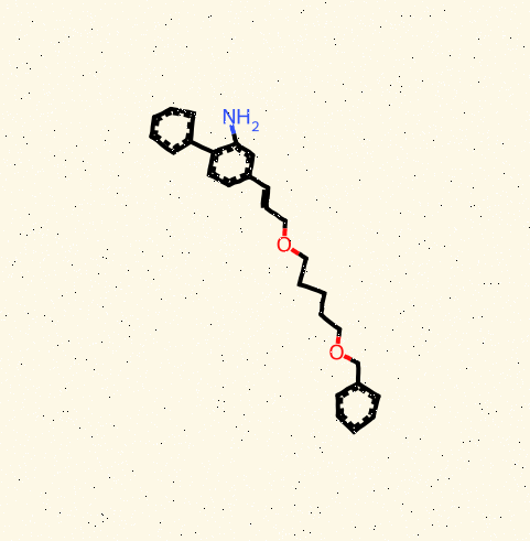 Nc1cc(C=CCOCCCCCOCc2ccccc2)ccc1-c1ccccc1